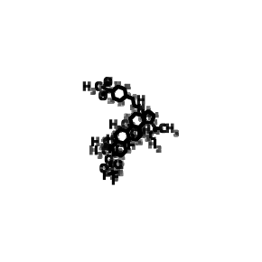 C=C(C)[C@@H]1CC[C@]2(NCCC3CCC(S(C)(=O)=O)CC3)CC[C@]3(C)[C@H](CC[C@@H]4[C@@]5(C)CC=C(OS(=O)(=O)C(F)(F)F)C(C)(C)[C@@H]5CC[C@]43C)[C@@H]12